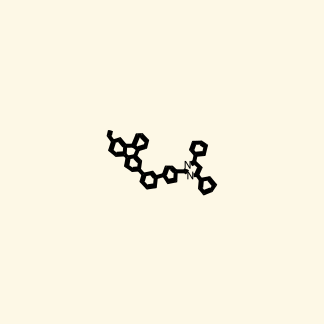 C=Cc1ccc2c3ccc(-c4cccc(-c5ccc(-c6nc(-c7ccccc7)cc(-c7ccccc7)n6)cc5)c4)cc3c3ccccc3c2c1